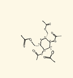 CC(=O)OC[C@@H]1S[C@H](COC(C)=O)[C@@H](OC(C)=O)[C@H](OC(C)=O)[C@H]1OC(C)=O